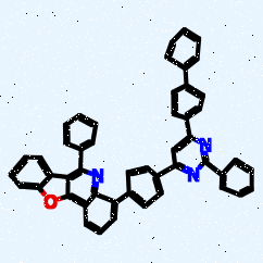 c1ccc(-c2ccc(-c3cc(-c4ccc(-c5cccc6c5nc(-c5ccccc5)c5c7ccccc7oc65)cc4)nc(-c4ccccc4)n3)cc2)cc1